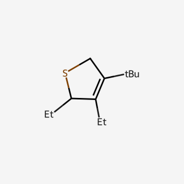 CCC1=C(C(C)(C)C)CSC1CC